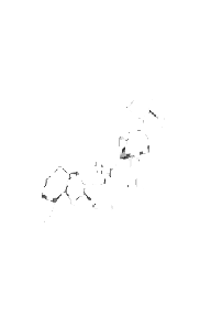 C[C@@H](Nc1nccc(N2CCOC2=O)n1)c1cc2cccc(Cl)c2[nH]c1=O